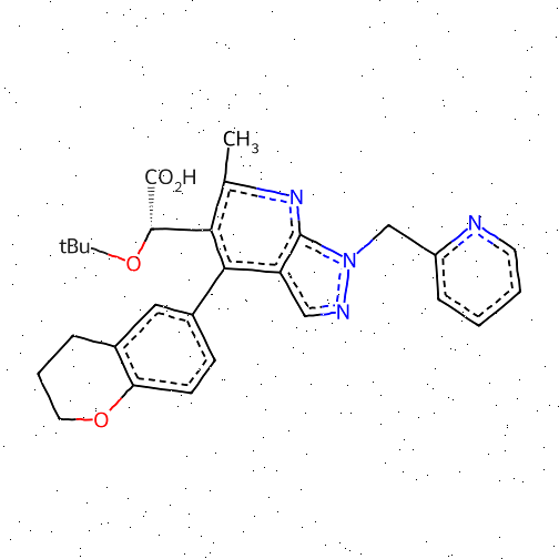 Cc1nc2c(cnn2Cc2ccccn2)c(-c2ccc3c(c2)CCCO3)c1[C@H](OC(C)(C)C)C(=O)O